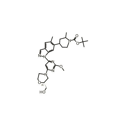 COc1nc(N2CCO[C@@H](CO)C2)cc(-n2ncc3cc(C)c(C4CCN(C(=O)OC(C)(C)C)C(C)C4)cc32)n1